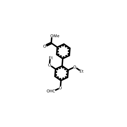 CCOc1cc(OC=O)cc(OCC)c1-c1cccc(C(=O)OC)c1